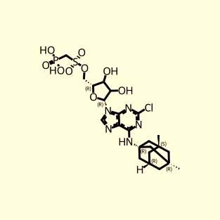 C[C@]12C[C@@H]3C[C@](C)(C1)C[C@@](Nc1nc(Cl)nc4c1ncn4[C@@H]1O[C@H](COS(=O)(=O)CP(=O)(O)O)C(O)C1O)(C3)C2